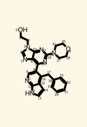 OCCn1cnc2c(-c3cnc4[nH]ccc4c3Cc3ccccc3)nc(N3CCOCC3)nc21